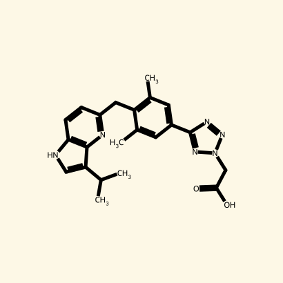 Cc1cc(-c2nnn(CC(=O)O)n2)cc(C)c1Cc1ccc2[nH]cc(C(C)C)c2n1